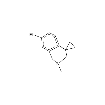 CCc1ccc2c(c1)CN(C)CC21CC1